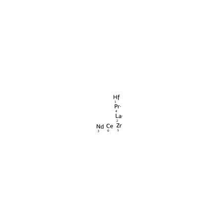 [Ce].[Hf].[La].[Nd].[Pr].[Zr]